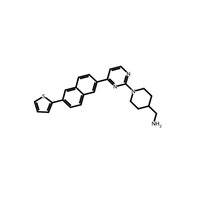 NCC1CCN(c2nccc(-c3ccc4cc(-c5cccs5)ccc4c3)n2)CC1